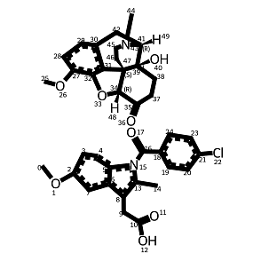 COc1ccc2c(c1)c(CC(=O)O)c(C)n2C(=O)c1ccc(Cl)cc1.COc1ccc2c3c1O[C@H]1C(=O)CC[C@@]4(O)[C@@H](C2)N(C)CC[C@]314